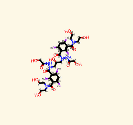 O=C(CO)NN(CC(O)CN(NC(=O)CO)C(=O)c1c(I)cc(I)c(C(=O)N(CCO)CCO)c1I)C(=O)c1c(I)cc(I)c(C(=O)N(CCO)CCO)c1I